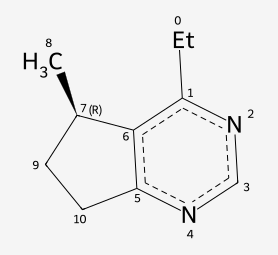 CCc1ncnc2c1[C@H](C)CC2